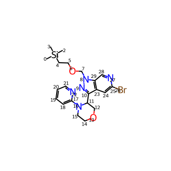 C[Si](C)(C)CCOCn1nc(C2COCCN2c2ccccn2)c2cc(Br)ncc21